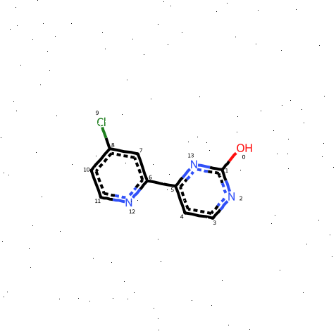 Oc1nccc(-c2cc(Cl)ccn2)n1